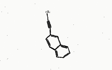 CCCCC#Cc1ccc2ccccc2c1